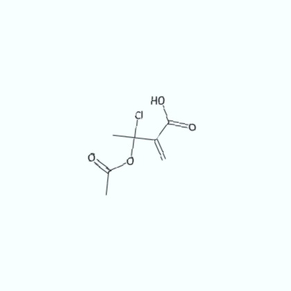 C=C(C(=O)O)C(C)(Cl)OC(C)=O